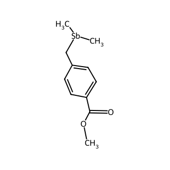 COC(=O)c1ccc([CH2][Sb]([CH3])[CH3])cc1